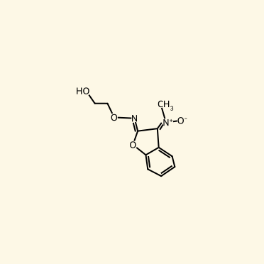 C[N+]([O-])=C1C(=NOCCO)Oc2ccccc21